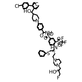 O=C(NS(=O)(=O)c1ccc(N[C@H](CCN2CCN(C[C@H](O)CF)CC2)CSc2ccccc2)c(S(=O)(=O)C(F)(F)F)c1)c1ccc(N2CCC(C(O)c3ccccc3-c3ccc(Cl)cc3)CC2)cc1